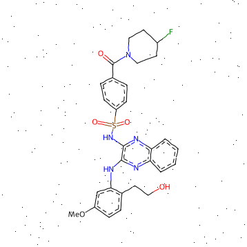 COc1ccc(CCO)c(Nc2nc3ccccc3nc2NS(=O)(=O)c2ccc(C(=O)N3CCC(F)CC3)cc2)c1